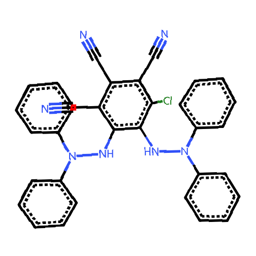 N#Cc1c(Cl)c(NN(c2ccccc2)c2ccccc2)c(NN(c2ccccc2)c2ccccc2)c(C#N)c1C#N